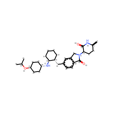 C=C1CCC(N2Cc3cc(C[C@H]4CCCC[C@@H]4N[C@H]4CC[C@H](OC(C)C)CC4)ccc3C2=O)C(=O)N1